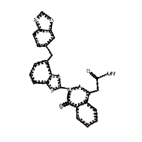 O=C(O)Cc1nn(-c2nc3c(Cc4ccc5scnc5c4)cccc3s2)c(=O)c2ccccc12